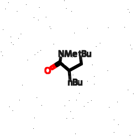 CCCCC(CC(C)(C)C)C(=O)NC